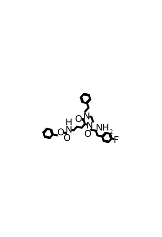 NC(Cc1ccc(F)cc1)C(=O)N1CCN(CCc2ccccc2)C(=O)C1CCCNC(=O)OCc1ccccc1